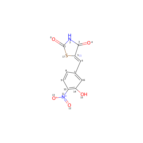 O=C1NC(=O)/C(=C/c2ccc([N+](=O)[O-])c(O)c2)S1